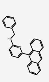 c1ccc(CNc2cccc(-c3c4ccccc4cc4ccccc34)n2)cc1